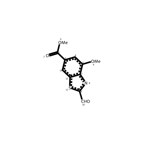 COC(=O)c1cc(OC)c2nc(C=O)sc2c1